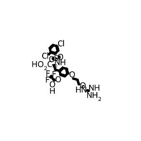 N=C(N)NOCCCOc1ccc(C[C@H](NS(=O)(=O)c2cc(Cl)ccc2Cl)C(=O)O)cc1.O=C(O)C(F)(F)F